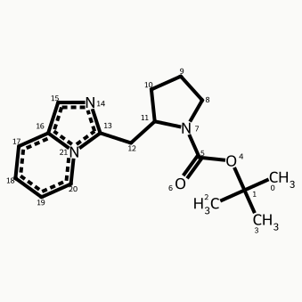 CC(C)(C)OC(=O)N1CCCC1Cc1ncc2ccccn12